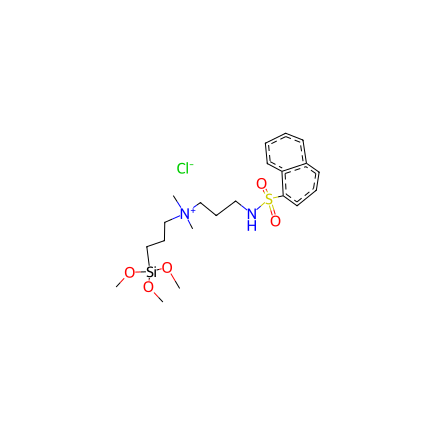 CO[Si](CCC[N+](C)(C)CCCNS(=O)(=O)c1cccc2ccccc12)(OC)OC.[Cl-]